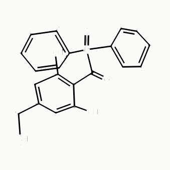 Cc1cc(CS)cc(C)c1C(=O)P(=O)(c1ccccc1)c1ccccc1